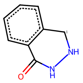 O=C1NN[C]c2ccccc21